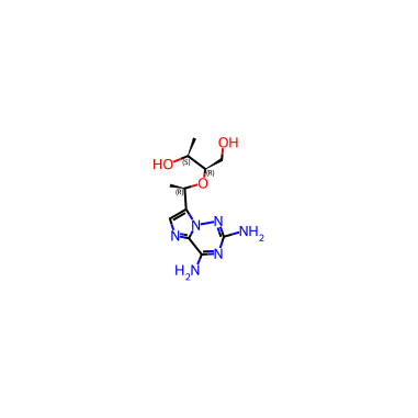 C[C@H](O)[C@@H](CO)O[C@H](C)c1cnc2c(N)nc(N)nn12